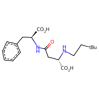 CC(C)(C)CCN[C@@H](CC(=O)N[C@@H](Cc1ccccc1)C(=O)O)C(=O)O